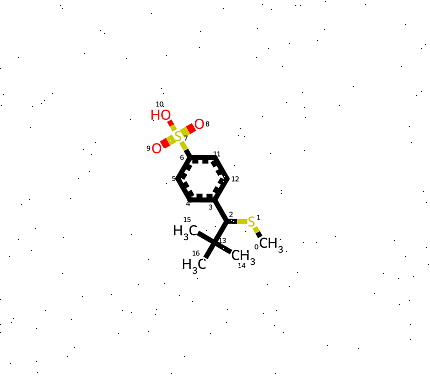 CSC(c1ccc(S(=O)(=O)O)cc1)C(C)(C)C